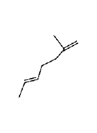 C=C(C)CCC=CC